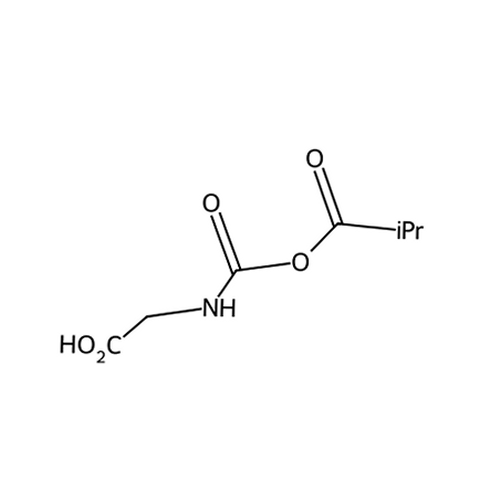 CC(C)C(=O)OC(=O)NCC(=O)O